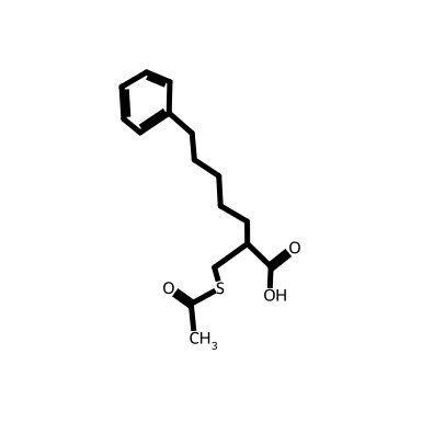 CC(=O)SCC(CCCCCc1ccccc1)C(=O)O